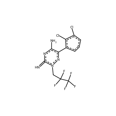 N=c1nc(N)c(-c2cccc(Cl)c2Cl)nn1CC(F)(F)C(F)(F)F